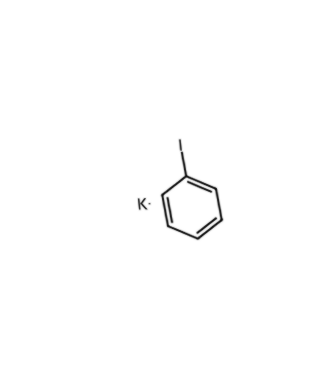 Ic1ccccc1.[K]